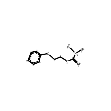 CC(C)N(C(=N)OCCOc1ccccc1)C(C)C